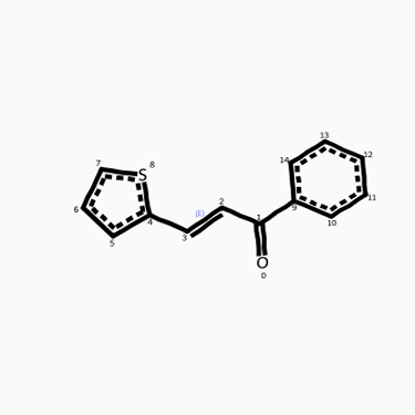 O=C(/C=C/c1cccs1)c1ccccc1